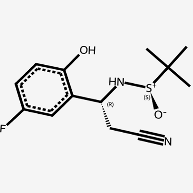 CC(C)(C)[S@@+]([O-])N[C@H](CC#N)c1cc(F)ccc1O